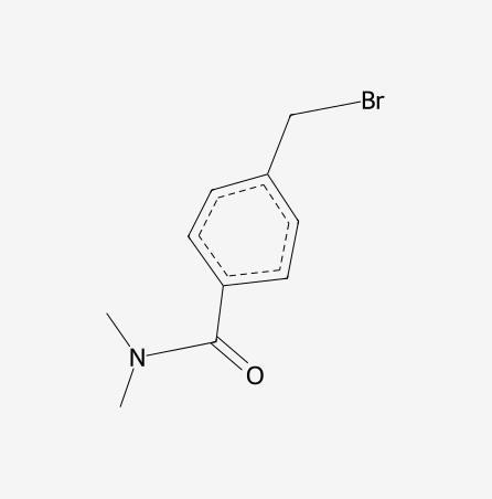 CN(C)C(=O)c1ccc(CBr)cc1